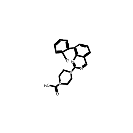 O=C(O)N1CCN(c2ncc3cccc(-c4ccccc4Cl)c3n2)CC1